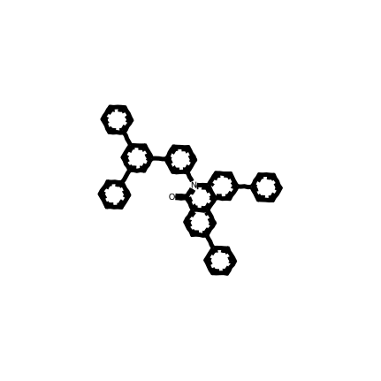 O=c1c2ccc(-c3ccccc3)cc2c2cc(-c3ccccc3)ccc2n1-c1cccc(-c2cc(-c3ccccc3)cc(-c3ccccc3)c2)c1